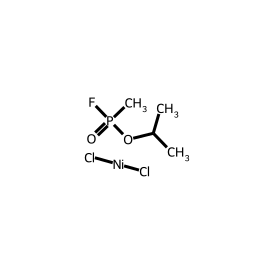 CC(C)OP(C)(=O)F.[Cl][Ni][Cl]